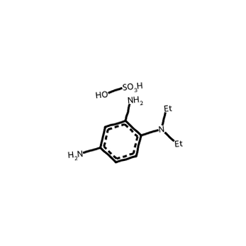 CCN(CC)c1ccc(N)cc1N.O=S(=O)(O)O